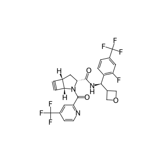 O=C(N[C@@H](c1ccc(C(F)(F)F)cc1F)C1COC1)[C@H]1C[C@H]2C#C[C@H]2N1C(=O)c1cc(C(F)(F)F)ccn1